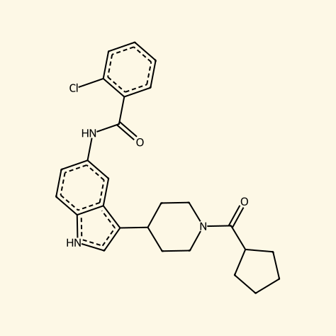 O=C(Nc1ccc2[nH]cc(C3CCN(C(=O)C4CCCC4)CC3)c2c1)c1ccccc1Cl